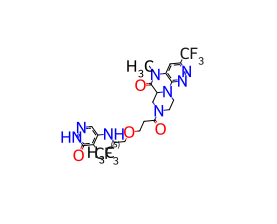 C[C@@H](COCCC(=O)N1CCN2c3nnc(C(F)(F)F)cc3N(C)C(=O)C2C1)Nc1cn[nH]c(=O)c1C(F)(F)F